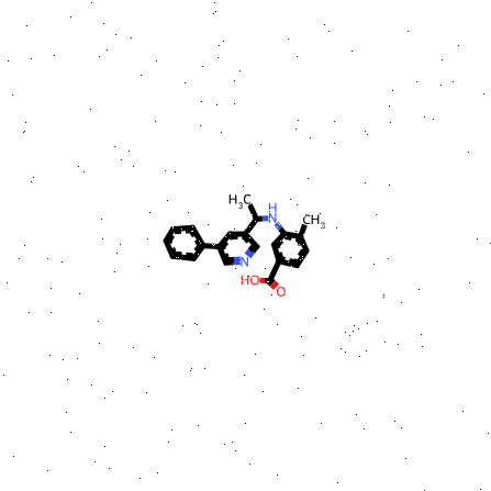 Cc1ccc(C(=O)O)cc1NC(C)c1cncc(-c2ccccc2)c1